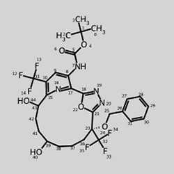 CC(C)(C)OC(=O)Nc1cc(C(F)(F)F)c2nc1-c1nnc(o1)[C@@](OCc1ccccc1)(C(F)(F)F)CCCC(O)CCC2O